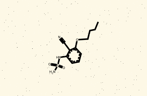 CCCCOc1cccc(NS(N)(=O)=O)c1C#N